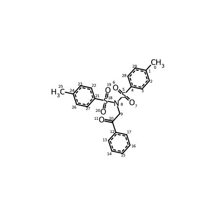 Cc1ccc(S(=O)(=O)N(CC(=O)c2ccccc2)S(=O)(=O)c2ccc(C)cc2)cc1